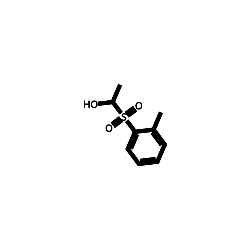 Cc1ccccc1S(=O)(=O)C(C)O